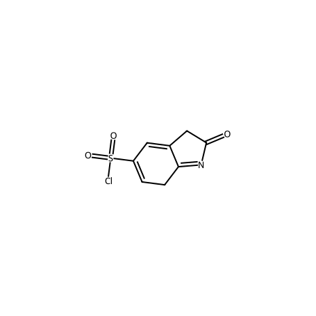 O=C1CC2=CC(S(=O)(=O)Cl)=CCC2=N1